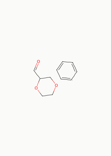 O=CC1COCCO1.[c]1ccccc1